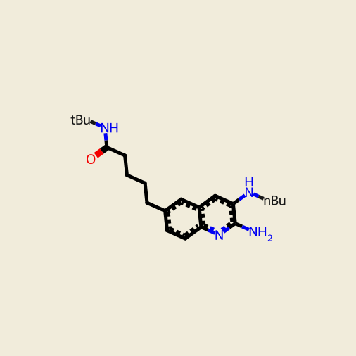 CCCCNc1cc2cc(CCCCC(=O)NC(C)(C)C)ccc2nc1N